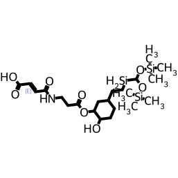 C[Si](C)(C)OC(O[Si](C)(C)C)[SiH2]CCC1CCC(O)C(OC(=O)CCNC(=O)/C=C/C(=O)O)C1